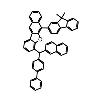 CC1(C)c2ccccc2-c2ccc(-c3c4ccccc4cc4c3oc3c(C(c5ccc(-c6ccccc6)cc5)c5ccc6ccccc6c5)cccc34)cc21